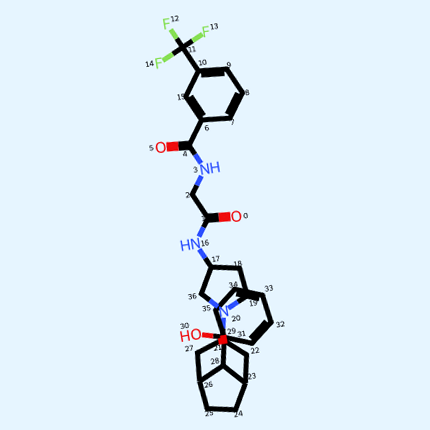 O=C(CNC(=O)c1cccc(C(F)(F)F)c1)NC1CCN(C2CC3CCC(C2)C3C2(O)C=CC=CC2)C1